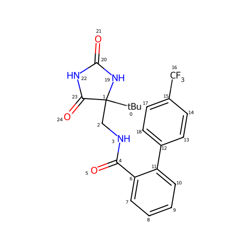 CC(C)(C)C1(CNC(=O)c2ccccc2-c2ccc(C(F)(F)F)cc2)NC(=O)NC1=O